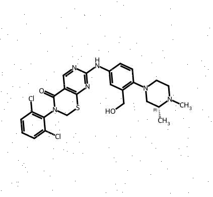 C[C@@H]1CN(c2ccc(Nc3ncc4c(n3)SCN(c3c(Cl)cccc3Cl)C4=O)cc2CO)CCN1C